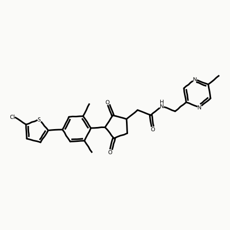 Cc1cnc(CNC(=O)CC2CC(=O)C(c3c(C)cc(-c4ccc(Cl)s4)cc3C)C2=O)cn1